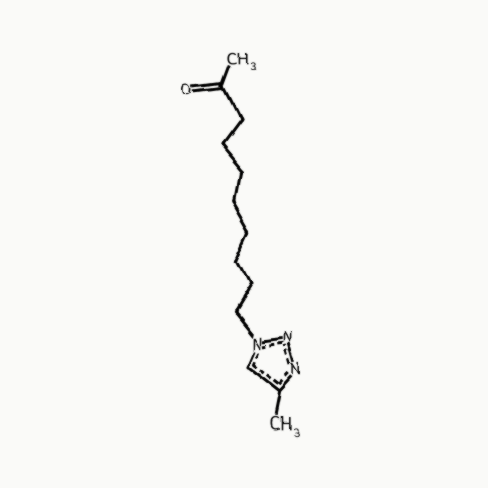 CC(=O)CCCCCCCCn1cc(C)nn1